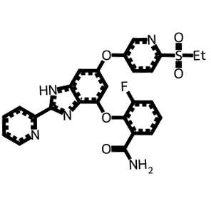 CCS(=O)(=O)c1ccc(Oc2cc(Oc3c(F)cccc3C(N)=O)c3nc(-c4ccccn4)[nH]c3c2)cn1